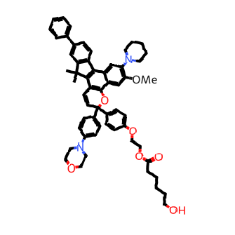 COc1cc2c3c(c4c(c2cc1N1CCCCC1)-c1ccc(-c2ccccc2)cc1C4(C)C)C=CC(c1ccc(OCCOC(=O)CCCCCO)cc1)(c1ccc(N2CCOCC2)cc1)O3